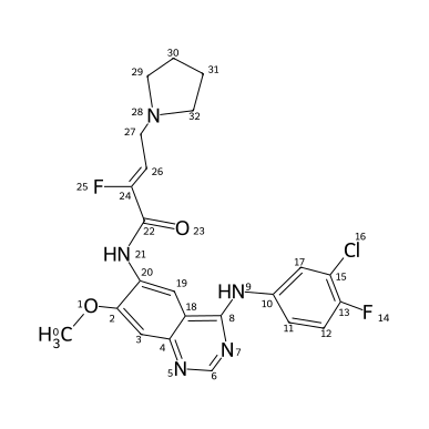 COc1cc2ncnc(Nc3ccc(F)c(Cl)c3)c2cc1NC(=O)C(F)=CCN1CCCC1